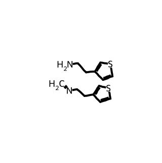 C=NCCc1ccsc1.NCCc1ccsc1